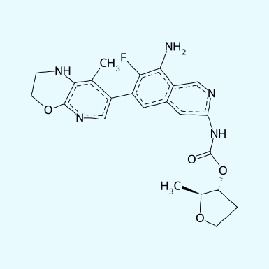 Cc1c(-c2cc3cc(NC(=O)O[C@@H]4CCO[C@H]4C)ncc3c(N)c2F)cnc2c1NCCO2